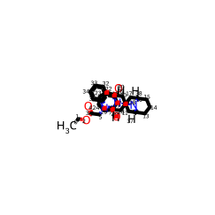 CCOC(=O)Cn1c(=O)n([C@H]2C[C@H]3CCC[C@@H](C2)N3[C@@H]2C[C@@H]3CCCC[C@@H](C3)C2)c(=O)c2ccccc21